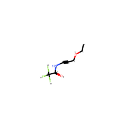 CCOCC#CNC(=O)C(F)(F)F